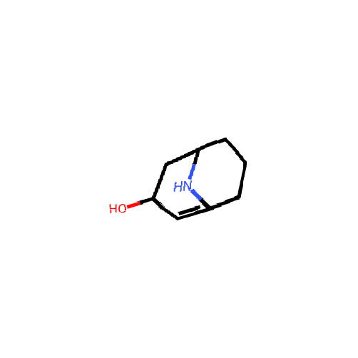 OC1C=C2CCCC(C1)N2